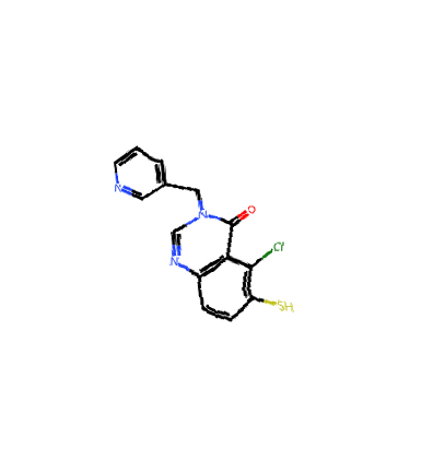 O=c1c2c(Cl)c(S)ccc2ncn1Cc1cccnc1